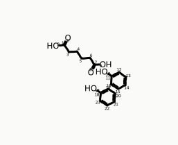 O=C(O)CCCCC(=O)O.Oc1ccccc1.Oc1ccccc1